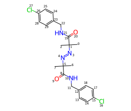 CC(C)(N=NC(C)(C)C(=O)NCc1ccc(Cl)cc1)C(=O)NCc1ccc(Cl)cc1